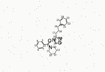 O=C(c1ccccc1)N1CCCC[C@H]1c1nc(CCCc2ccccc2)no1